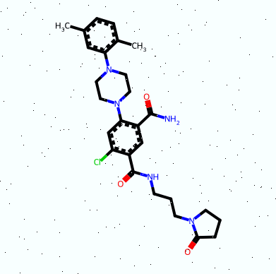 Cc1ccc(C)c(N2CCN(c3cc(Cl)c(C(=O)NCCCN4CCCC4=O)cc3C(N)=O)CC2)c1